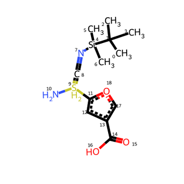 CC(C)(C)[Si](C)(C)N=C=[SH2](N)c1cc(C(=O)O)co1